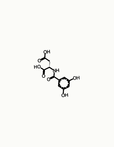 O=C(O)C[C@H](NC(=O)c1cc(O)cc(O)c1)C(=O)O